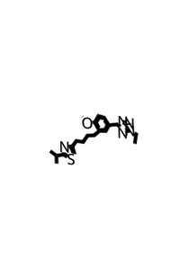 CCn1nnc(-c2ccc(OC)c(CCCCc3csc(C(C)C)n3)c2)n1